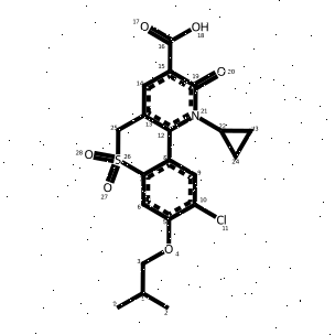 CC(C)COc1cc2c(cc1Cl)-c1c(cc(C(=O)O)c(=O)n1C1CC1)CS2(=O)=O